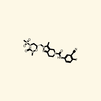 Cc1c2c(nn1C[C@@H](CNS(C)(=O)=O)ON(C)C=O)CCN(C(=O)Nc1ccc(F)c(C#N)c1)C2